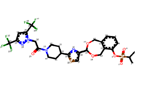 CC(C)S(=O)(=O)Oc1cccc2c1COC(c1csc(C3CCN(C(=O)Cn4nc(C(F)(F)F)cc4C(F)(F)F)CC3)n1)OC2